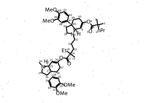 CCCC(C)(C)C(=O)OC1=C[C@@H]2N(CCCC(C)(CC)C(=O)OC3=C[C@@H]4N(C)CC[C@]4(c4ccc(OC)c(OC)c4)CC3)CC[C@]2(c2ccc(OC)c(OC)c2)CC1